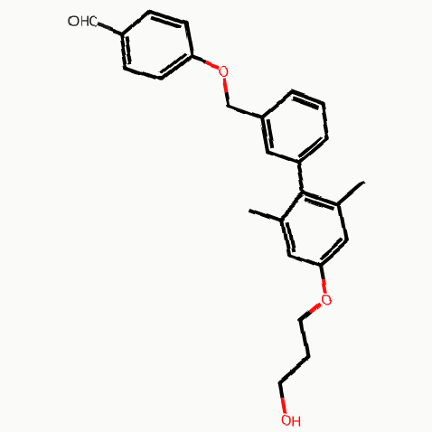 Cc1cc(OCCCO)cc(C)c1-c1cccc(COc2ccc(C=O)cc2)c1